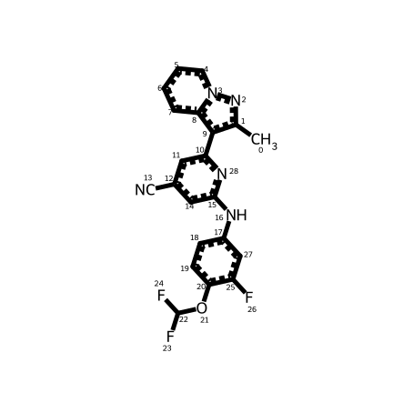 Cc1nn2ccccc2c1-c1cc(C#N)cc(Nc2ccc(OC(F)F)c(F)c2)n1